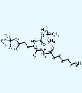 CC(C)(C)OC(=O)CC[C@@H](NC(=O)OC(C)(C)C)C(=O)NNC(=O)CCCCCN